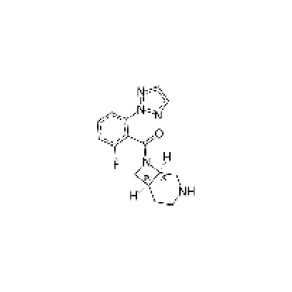 O=C(c1c(F)cccc1-n1nccn1)N1C[C@@H]2CCNC[C@@H]21